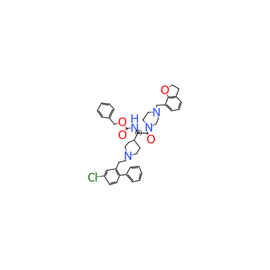 O=C(N[C@@H](C(=O)N1CCN(Cc2cccc3c2OCC3)CC1)C1CCN(CCc2cc(Cl)ccc2-c2ccccc2)CC1)OCc1ccccc1